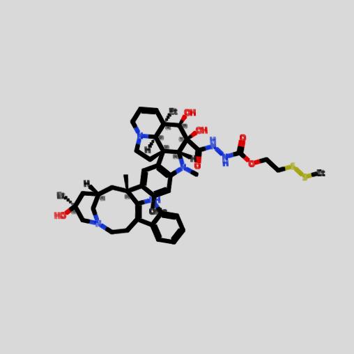 CCSSCCOC(=O)NNC(=O)[C@@]1(O)[C@H](O)[C@]2(CC)C=CCN3CC[C@@]4(c5cc([C@@]6(C)C[C@@H]7CN(CCc8c6[nH]c6ccccc86)C[C@](O)(CC)C7)c(OC)cc5N(C)[C@@H]14)[C@@H]32